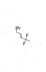 CC(C)C/C=C/C(C)(F)F